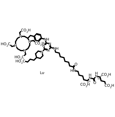 O=C(O)CCCC1CCN(c2nc(NCCCCCCCC(=O)NCCCC[C@H](NC(=O)N[C@@H](CCC(=O)O)C(=O)O)C(=O)O)nc(Nc3ccc(CC4CN(CC(=O)O)CCN(CC(=O)O)CCN(CC(=O)O)CCN4CC(=O)O)cc3)n2)CC1.[Lu]